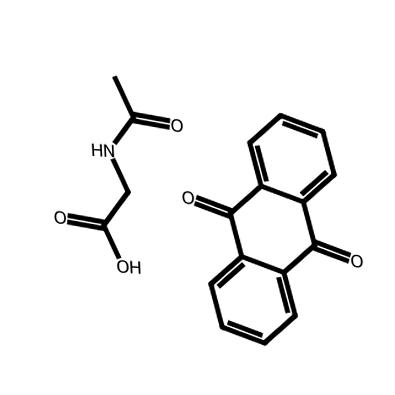 CC(=O)NCC(=O)O.O=C1c2ccccc2C(=O)c2ccccc21